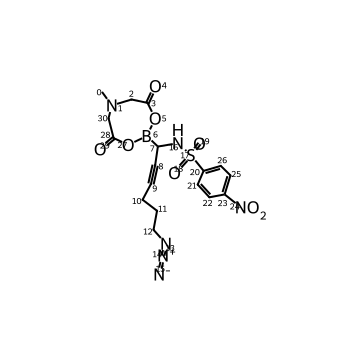 CN1CC(=O)OB(C(C#CCCCN=[N+]=[N-])NS(=O)(=O)c2ccc([N+](=O)[O-])cc2)OC(=O)C1